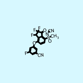 CS(=O)(=NC#N)c1ccc(Oc2cc(F)cc(C#N)c2)c2c1C(=O)C(F)(F)C2F